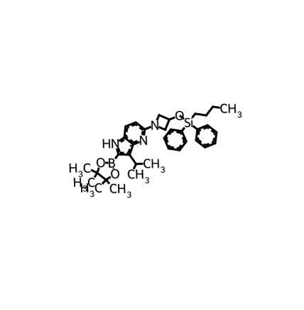 CCCC[Si](OC1CN(c2ccc3[nH]c(B4OC(C)(C)C(C)(C)O4)c(C(C)C)c3n2)C1)(c1ccccc1)c1ccccc1